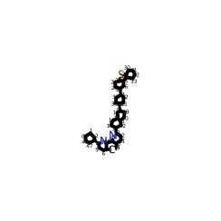 c1ccc(-c2ccc3ccc4ccc(-c5ccc6cc(-c7ccc(-c8ccc9sc%10ccccc%10c9c8)cc7)ccc6c5)nc4c3n2)cc1